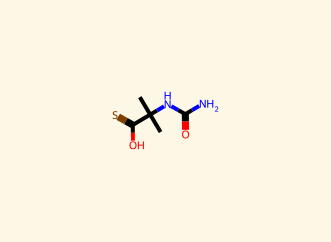 CC(C)(NC(N)=O)C(O)=S